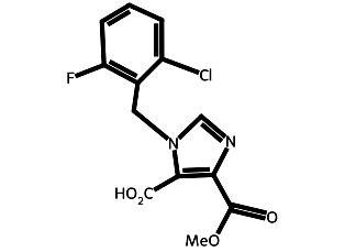 COC(=O)c1ncn(Cc2c(F)cccc2Cl)c1C(=O)O